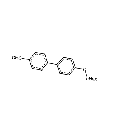 CCCCCCOc1ccc(-c2ccc(C=O)cn2)cc1